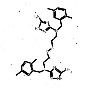 Cc1ccc(C)c(CN(CCSSCCN(Cc2cc(C)ccc2C)c2n[nH]c(N)n2)c2n[nH]c(N)n2)c1